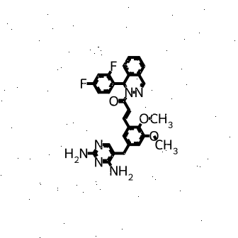 COc1cc(Cc2cnc(N)nc2N)cc(C=CC(=O)N2N=Cc3ccccc3C2c2ccc(F)cc2F)c1OC